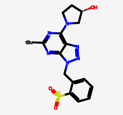 CC(C)(C)c1nc(N2CC[C@H](O)C2)c2nnn(Cc3ccccc3[SH](=O)=O)c2n1